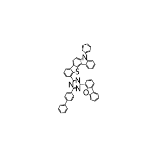 c1ccc(-c2ccc(-c3nc(-c4cccc5c4oc4ccccc45)nc(-c4cccc5c4sc4c5ccc5c4c4ccccc4n5-c4ccccc4)n3)cc2)cc1